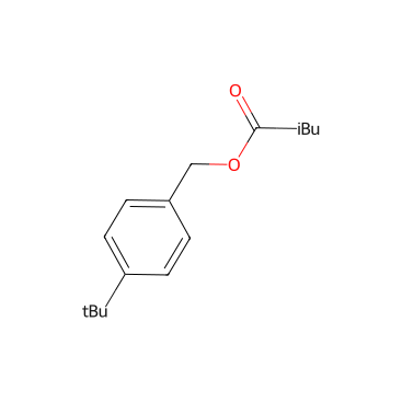 CCC(C)C(=O)OCc1ccc(C(C)(C)C)cc1